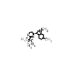 Cc1[c]cc2c(-c3ccnc(C(C)(C)C)n3)cn(C)c2c1